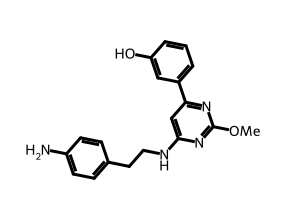 COc1nc(NCCc2ccc(N)cc2)cc(-c2cccc(O)c2)n1